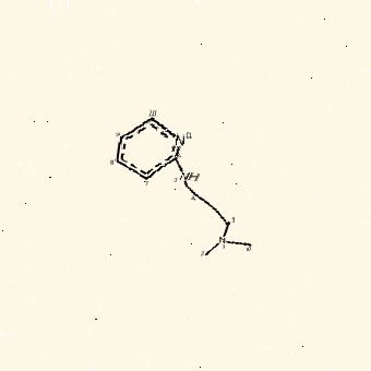 CN(C)CCNc1ccccn1